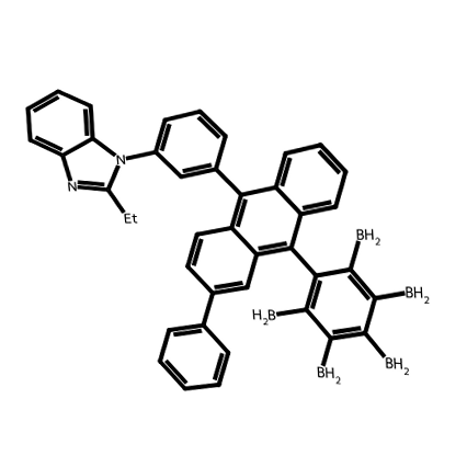 Bc1c(B)c(B)c(-c2c3ccccc3c(-c3cccc(-n4c(CC)nc5ccccc54)c3)c3ccc(-c4ccccc4)cc23)c(B)c1B